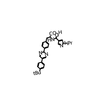 CC(C)n1cc(C(=O)NC(Cc2ccc(-c3ncc(-c4ccc(C(C)(C)C)cc4)cn3)cc2)C(=O)O)cn1